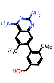 COc1ccc(CO)cc1-c1cc2nc(N)nc(N)c2cc1C